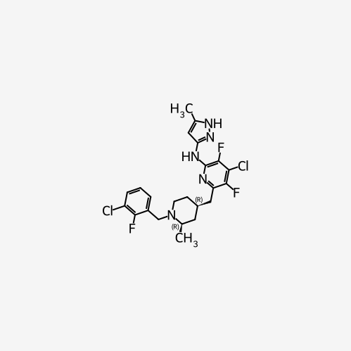 Cc1cc(Nc2nc(C[C@@H]3CCN(Cc4cccc(Cl)c4F)[C@H](C)C3)c(F)c(Cl)c2F)n[nH]1